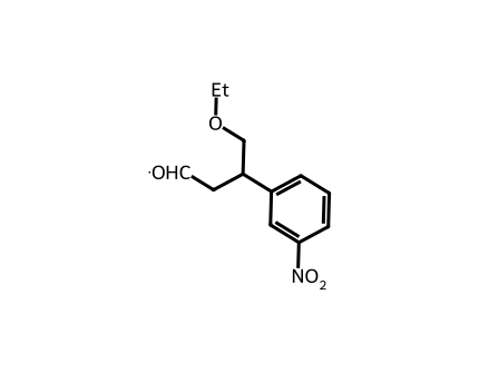 CCOCC(C[C]=O)c1cccc([N+](=O)[O-])c1